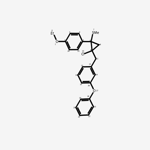 CCOc1ccc(C2(SC)CC2(Cl)Cc2cccc(Oc3ccccc3)c2)cc1